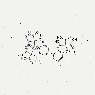 C=C(c1cccc(-c2ccc(C(=C)C(C(=O)O)(C(=O)O)C(=O)O)c(C(=C)C(C(=O)O)(C(=O)O)C(=O)O)c2)c1)C(C(=O)O)(C(=O)O)C(=O)O